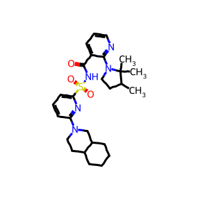 CC1CCN(c2ncccc2C(=O)NS(=O)(=O)c2cccc(N3CCC4CCCCC4C3)n2)C1(C)C